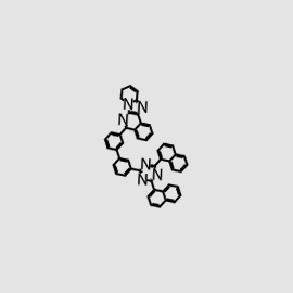 C1=Cc2nc3c4ccccc4c(-c4cccc(-c5cccc(-c6nc(-c7cccc8ccccc78)nc(-c7cccc8ccccc78)n6)c5)c4)nc3n2CC1